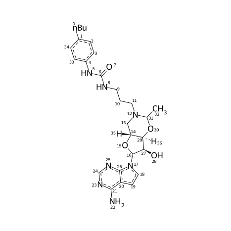 CCCCc1ccc(NC(=O)NCCCN2C[C@H]3OC(n4ccc5c(N)ncnc54)[C@H](O)[C@@H]3OC2C)cc1